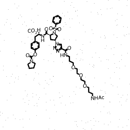 CC(=O)NCCCOCCOCCOCCCNC(=O)c1cn([C@@H]2C[C@@H](C(=O)N[C@@H](Cc3ccc(OC(=O)N4CCCC4)cc3)C(=O)O)N(S(=O)(=O)c3ccccc3)C2)nn1